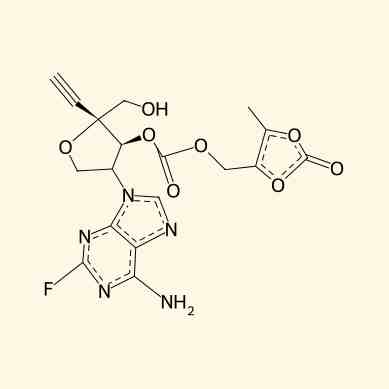 C#C[C@]1(CO)OCC(n2cnc3c(N)nc(F)nc32)[C@@H]1OC(=O)OCc1oc(=O)oc1C